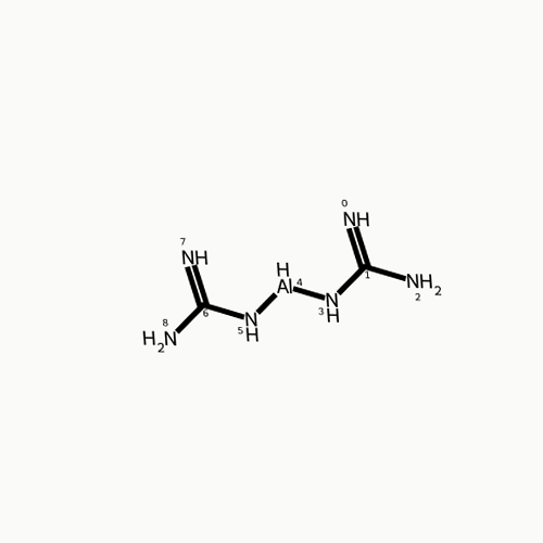 N=C(N)[NH][AlH][NH]C(=N)N